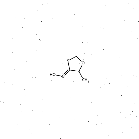 CC1OCSC1=NO